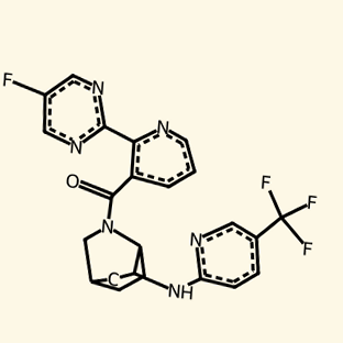 O=C(c1cccnc1-c1ncc(F)cn1)N1CC2CCC1C(Nc1ccc(C(F)(F)F)cn1)C2